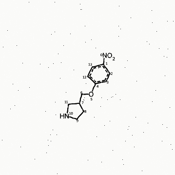 O=[N+]([O-])c1ccc(OCC2CCNC2)cc1